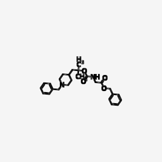 CC(C)(CC1CCN(Cc2ccccc2)CC1)OC(=O)NCC(=O)OCc1ccccc1